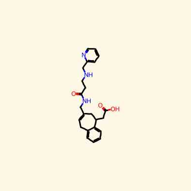 O=C(O)CC1CC(CNC(=O)CCNCc2ccccn2)=CCc2ccccc21